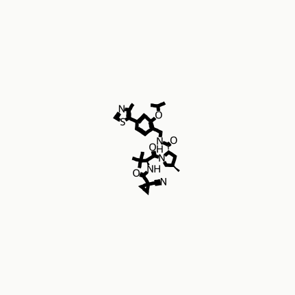 Cc1ncsc1-c1ccc(CNC(=O)[C@@H]2C[C@@H](C)CN2C(=O)[C@@H](NC(=O)C2(C#N)CC2)C(C)(C)C)c(OC(C)C)c1